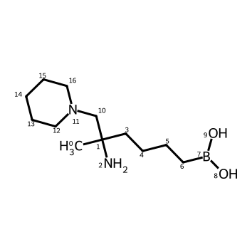 CC(N)(CCCCB(O)O)CN1CCCCC1